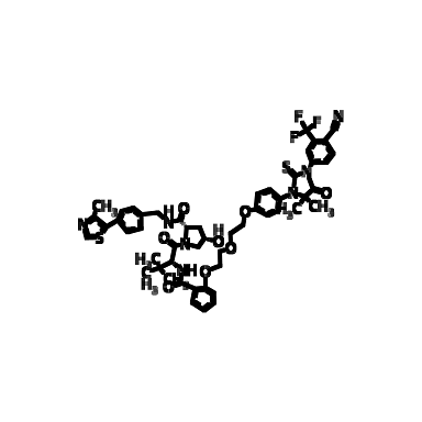 Cc1ncsc1-c1ccc(CNC(=O)[C@@H]2C[C@@H](O)CN2C(=O)[C@@H](NC(=O)c2ccccc2OCCOCCOc2ccc(N3C(=S)N(c4ccc(C#N)c(C(F)(F)F)c4)C(=O)C3(C)C)cc2)C(C)(C)C)cc1